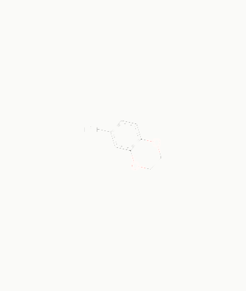 CCC(C)c1ccc2c(c1)OCCO2